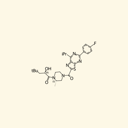 CC(C)c1nc(-c2ccc(F)cc2)nc2sc(C(=O)N3CCN(C(=O)[C@H](O)CC(C)(C)C)[C@@H](C)C3)nc12